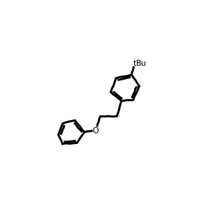 CC(C)(C)c1ccc([CH]COc2ccccc2)cc1